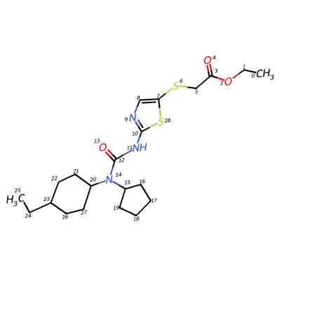 CCOC(=O)CSc1cnc(NC(=O)N(C2CCCC2)C2CCC(CC)CC2)s1